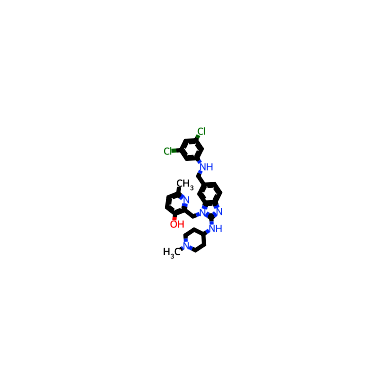 Cc1ccc(O)c(Cn2c(NC3CCN(C)CC3)nc3ccc(CNc4cc(Cl)cc(Cl)c4)cc32)n1